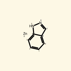 [Zn].c1ccc2[nH]ncc2c1